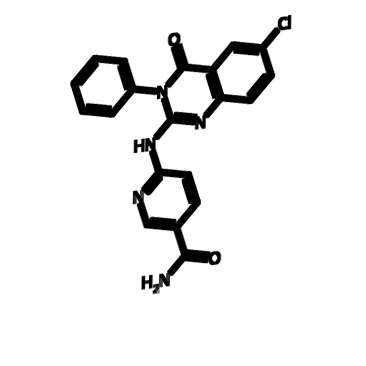 NC(=O)c1ccc(Nc2nc3ccc(Cl)cc3c(=O)n2-c2ccccc2)nc1